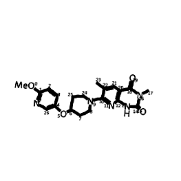 COc1ccc(OC2CCN(c3nc4[nH]c(=O)n(C)c(=O)c4cc3C)CC2)cn1